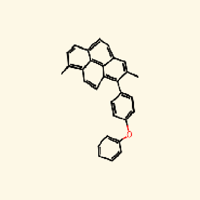 Cc1cc2ccc3ccc(C)c4ccc(c1-c1ccc(Oc5ccccc5)cc1)c2c34